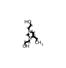 CCc1c[n+](CCO)cn1CCO